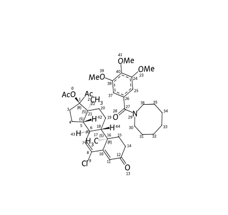 CC(=O)O[C@]1(C(C)=O)CC[C@H]2[C@@H]3C=C(Cl)C4=CC(=O)CC[C@]4(C)[C@H]3CC[C@@]21C.COc1cc(C(=O)N2CCCCCCC2)cc(OC)c1OC